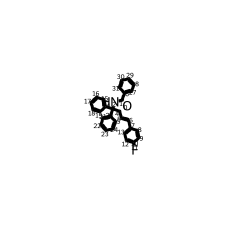 O=C(NC(C/C=C/c1ccc(F)cc1)(c1ccccc1)c1ccccc1)c1ccccc1